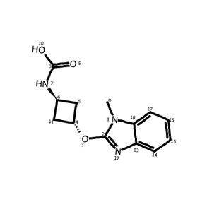 Cn1c(O[C@H]2C[C@H](NC(=O)O)C2)nc2ccccc21